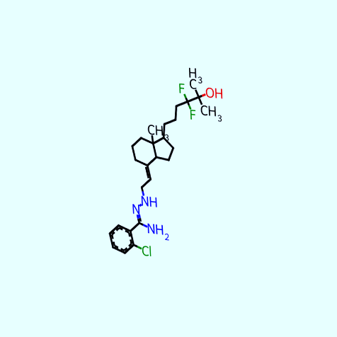 CC12CCC/C(=C\CN/N=C(\N)c3ccccc3Cl)C1CCC2CCCC(F)(F)C(C)(C)O